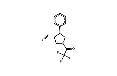 O=C[C@H]1CN(C(=O)C(F)(F)F)C[C@@H]1c1ccccc1